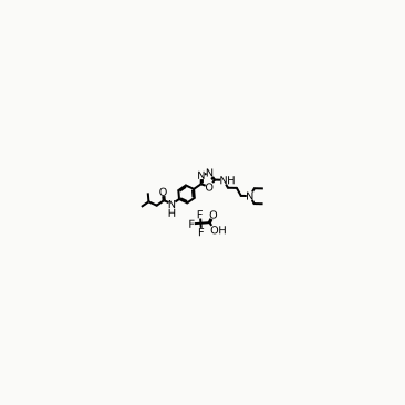 CCN(CC)CCCNc1nnc(-c2ccc(NC(=O)CC(C)C)cc2)o1.O=C(O)C(F)(F)F